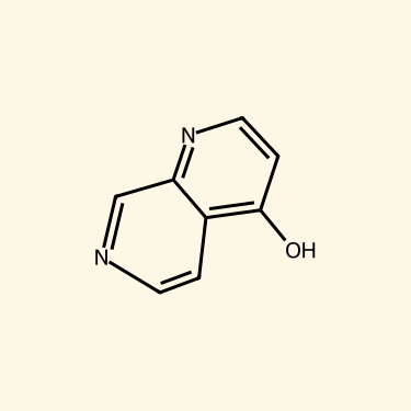 Oc1ccnc2cnccc12